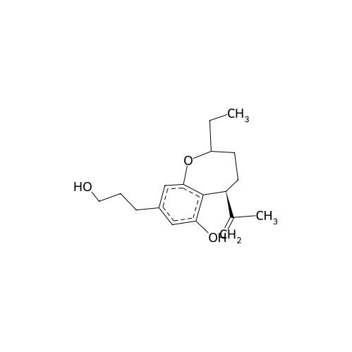 C=C(C)[C@@H]1CCC(CC)Oc2cc(CCCO)cc(O)c21